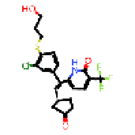 O=C1CC[C@H](/C=C(/c2ccc(SCCCO)c(Cl)c2)c2ccc(C(F)(F)F)c(=O)[nH]2)C1